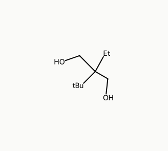 CCC(CO)(CO)C(C)(C)C